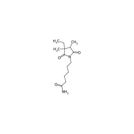 CCC1(C)C(=O)N(CCCCCC(N)=O)C(=O)C1C